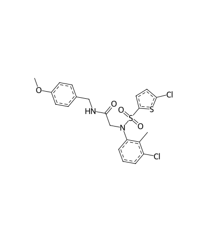 COc1ccc(CNC(=O)CN(c2cccc(Cl)c2C)S(=O)(=O)c2ccc(Cl)s2)cc1